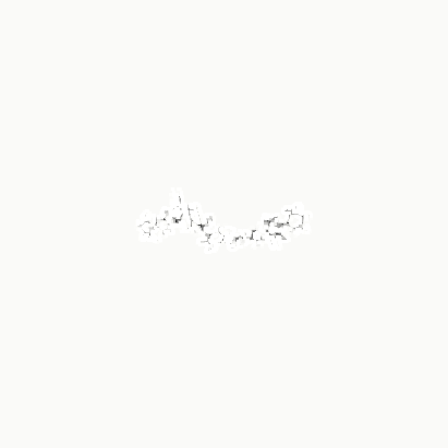 Cc1ccc(C)n1-c1ccc([C@@H](O)CN[C@H](C)Cc2cccc(CC(=O)NCc3ccc(C(=O)N[C@H](C)[C@@H](O)c4ccccc4)cc3)c2)cn1